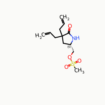 C=CCC1(CC=C)C[C@@H](COS(C)(=O)=O)NC1=O